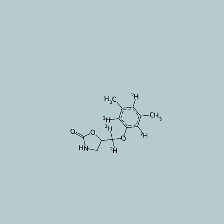 [2H]c1c(C)c([2H])c(OC([2H])([2H])C2CNC(=O)O2)c([2H])c1C